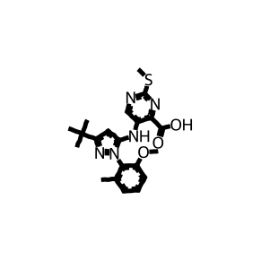 COc1cccc(C)c1-n1nc(C(C)(C)C)cc1Nc1cnc(SC)nc1C(=O)O